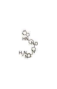 Nc1cc(CN2CCC(C(=O)N3CCC(NC4CCC5C=CC=CC54)CC3)CC2)ccn1